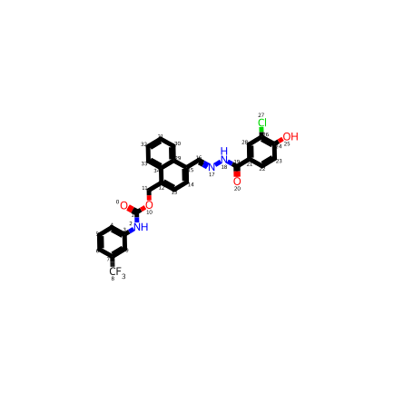 O=C(Nc1cccc(C(F)(F)F)c1)OCc1ccc(C=NNC(=O)c2ccc(O)c(Cl)c2)c2ccccc12